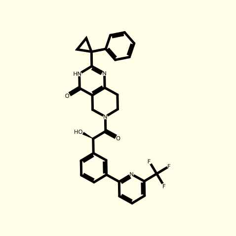 O=C([C@H](O)c1cccc(-c2cccc(C(F)(F)F)n2)c1)N1CCc2nc(C3(c4ccccc4)CC3)[nH]c(=O)c2C1